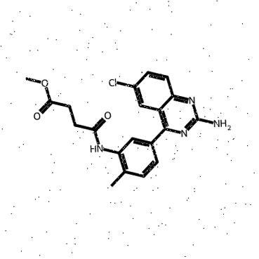 COC(=O)CCC(=O)Nc1cc(-c2nc(N)nc3ccc(Cl)cc23)ccc1C